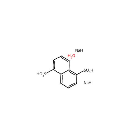 O.O=S(=O)(O)c1cccc2c(S(=O)(=O)O)cccc12.[NaH].[NaH]